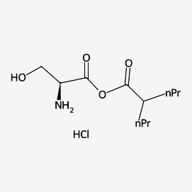 CCCC(CCC)C(=O)OC(=O)[C@@H](N)CO.Cl